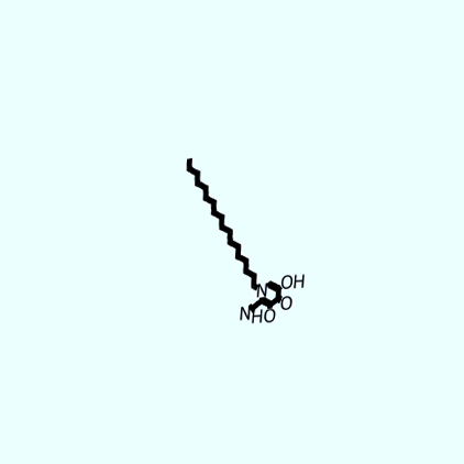 CCCCCCCCCCCCCCCCCCn1cc(O)c(=O)c(O)c1C#N